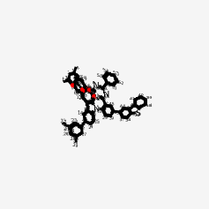 Cc1cc(C)cc(-c2ccc3c(c2)c2cc(-c4cc(C)cc(C)c4)ccc2n3-c2ccc(-c3ccc4sc5ccccc5c4c3)cc2-c2nc(-c3ccccc3)nc(-c3ccccc3)n2)c1